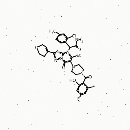 CCc1c(N2CCN(C(=O)c3c(O)cc(F)cc3F)CC2)c(=O)n2nc(C3=CCOCC3)nc2n1C(C(N)=O)c1ccc(C(F)(F)F)cc1Cl